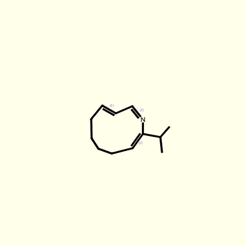 CC(C)C1=C/CCCC/C=C/C=N\1